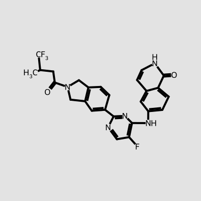 CC(CC(=O)N1Cc2ccc(-c3ncc(F)c(Nc4ccc5c(=O)[nH]ccc5c4)n3)cc2C1)C(F)(F)F